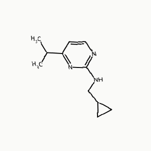 CC(C)c1ccnc(NCC2CC2)n1